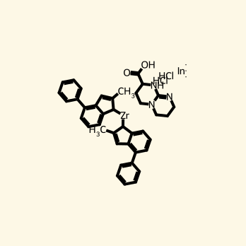 CC1=Cc2c(-c3ccccc3)cccc2[CH]1[Zr][CH]1C(C)=Cc2c(-c3ccccc3)cccc21.Cl.Cl.O=C(O)C1CCN2CCCN=C2N1.[In]